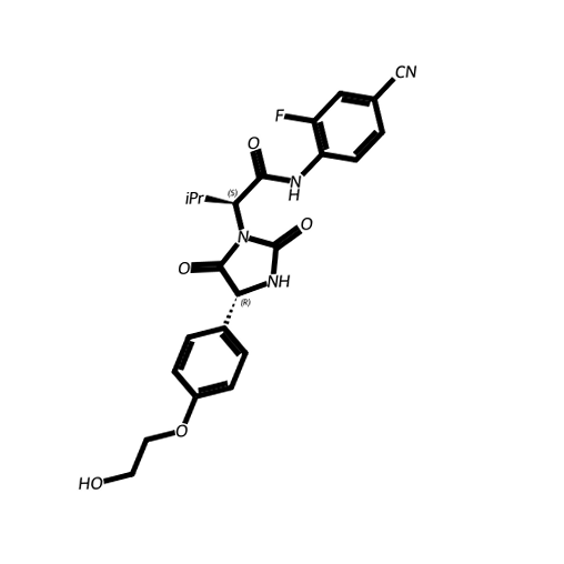 CC(C)[C@@H](C(=O)Nc1ccc(C#N)cc1F)N1C(=O)N[C@H](c2ccc(OCCO)cc2)C1=O